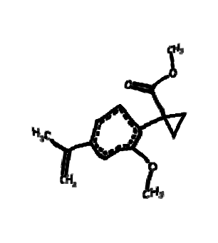 C=C(C)c1ccc(C2(C(=O)OC)CC2)c(OC)c1